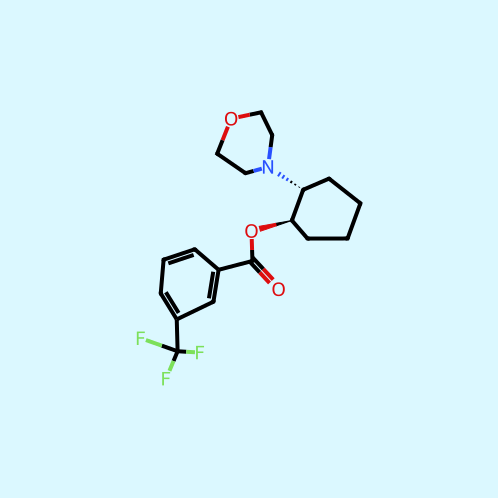 O=C(O[C@@H]1CCCC[C@H]1N1CCOCC1)c1cccc(C(F)(F)F)c1